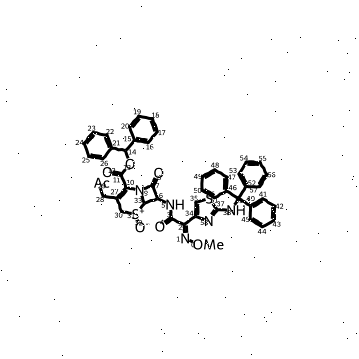 CO/N=C(/C(=O)NC1C(=O)N2C(C(=O)OC(c3ccccc3)c3ccccc3)=C(CC(C)=O)C[S+]([O-])C12)c1csc(NC(c2ccccc2)(c2ccccc2)c2ccccc2)n1